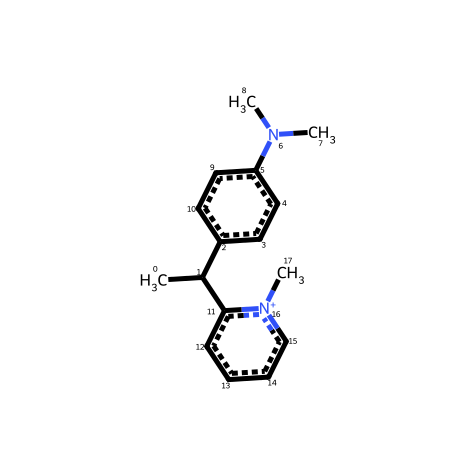 CC(c1ccc(N(C)C)cc1)c1cccc[n+]1C